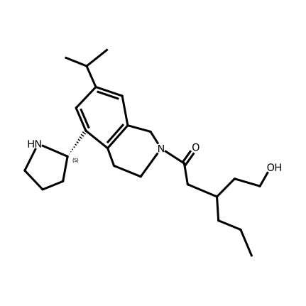 CCCC(CCO)CC(=O)N1CCc2c(cc(C(C)C)cc2[C@@H]2CCCN2)C1